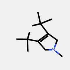 CN1CC(C(C)(C)C)=C(C(C)(C)C)C1